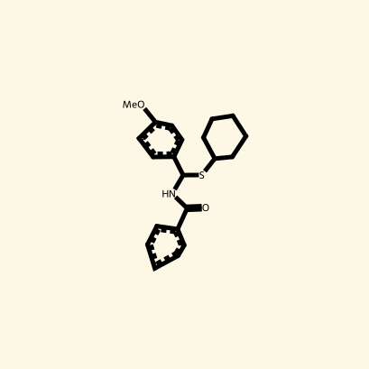 COc1ccc(C(NC(=O)c2ccccc2)SC2CCCCC2)cc1